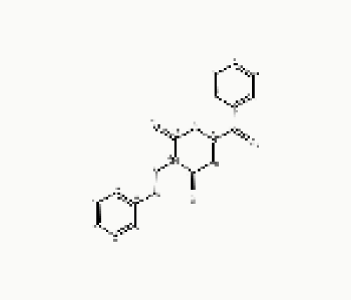 O=C(c1ccccc1)N1CC(=O)N(CCc2ccccc2)C(=O)C1